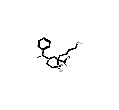 C[C@@H](c1ccccc1)N1CCP(=O)(O)C(CCCCN)(C(=O)O)C1